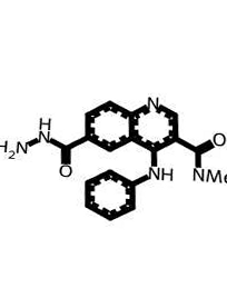 CNC(=O)c1cnc2ccc(C(=O)NN)cc2c1Nc1ccccc1